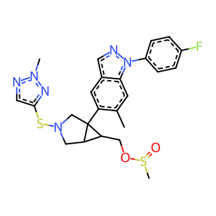 Cc1cc2c(cnn2-c2ccc(F)cc2)cc1C12CN(Sc3cnn(C)n3)CC1C2COS(C)=O